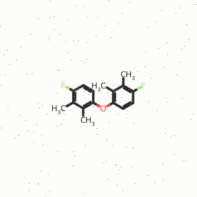 Cc1c(F)ccc(Oc2ccc(F)c(C)c2C)c1C